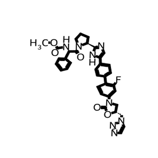 COC(=O)N[C@H](C(=O)N1CCC[C@H]1c1ncc(-c2ccc(-c3ccc(N4C[C@H](Cn5ccnn5)OC4=O)cc3F)cc2)[nH]1)c1ccccc1